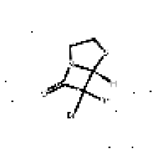 O=C1N2CCS[C@@H]2C1(Br)Br